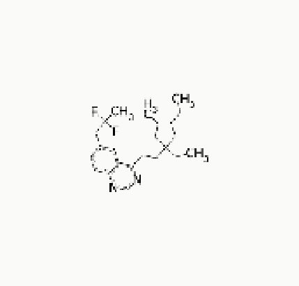 CCCCC(CC)(CCC)CCc1ncnc2ccc(CC(C)(F)F)cc12